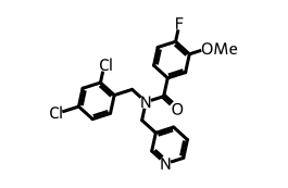 COc1cc(C(=O)N(Cc2cccnc2)Cc2ccc(Cl)cc2Cl)ccc1F